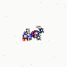 CCc1cn2c3c(cc(C(=O)N[C@@H](Cc4ccccc4)[C@@H](CNCc4cccc(Br)n4)OC=O)cc13)N(C)S(=O)(=O)CC2